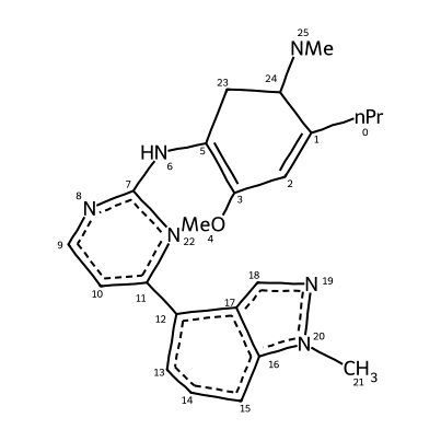 CCCC1=CC(OC)=C(Nc2nccc(-c3cccc4c3cnn4C)n2)CC1NC